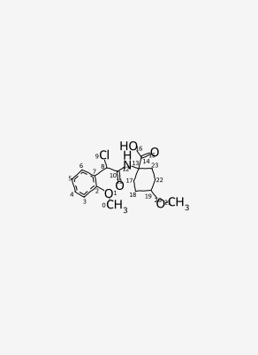 COc1ccccc1C(Cl)C(=O)NC1(C(=O)O)CCC(OC)CC1